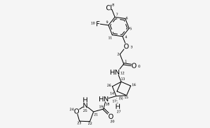 O=C(COc1ccc(Cl)c(F)c1)NC12CC(C1)[C@@H](NC(=O)C1CCON1)C2